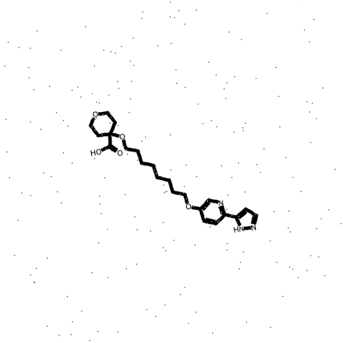 O=C(O)C1(OCCCCCCCCOc2ccc(-c3ccn[nH]3)nc2)CCOCC1